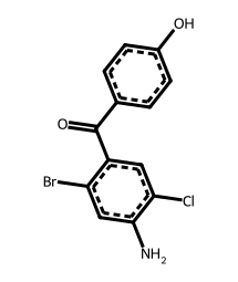 Nc1cc(Br)c(C(=O)c2ccc(O)cc2)cc1Cl